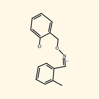 Cc1ccccc1/[C]=N\OCc1ccccc1Cl